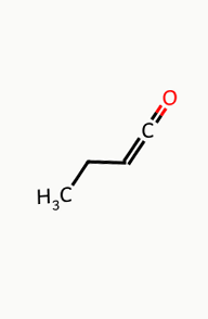 CCC=C=O